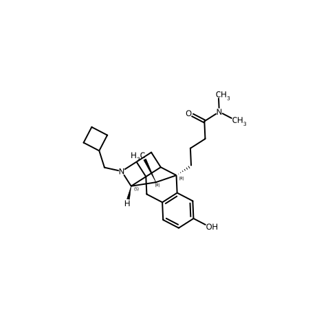 C[C@H]1[C@@H]2N(CC3CCC3)C3CC4C32Cc2ccc(O)cc2[C@]41CCCC(=O)N(C)C